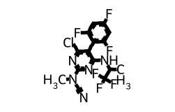 CC(Nc1nc(N(C)C#N)nc(Cl)c1-c1c(F)cc(F)cc1F)C(F)(F)F